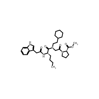 CCCC[C@@H](NC(=O)Cc1c[nH]c2ccccc12)C(=O)N(CCC1CCCCC1)CC(=O)N1CCC[C@@H]1C(=O)OC